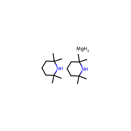 CC1(C)CCCC(C)(C)N1.CC1(C)CCCC(C)(C)N1.[MgH2]